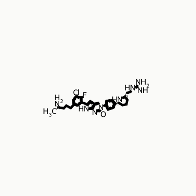 C[C@H](N)CCCc1cc(Cl)c(F)c(-c2cc3cn(-c4ccc([C@@H]5CCC[C@@H](CCNC(=N)N)N5)cc4)c(=O)nc3[nH]2)c1